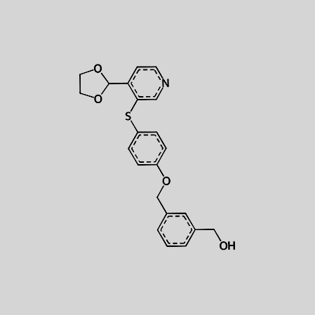 OCc1cccc(COc2ccc(Sc3cnccc3C3OCCO3)cc2)c1